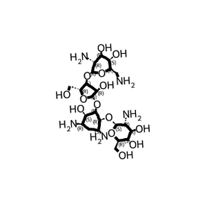 NC[C@H]1O[C@H](O[C@H]2[C@@H](O)[C@H](O[C@@H]3[C@@H](O)[C@H](N)C[C@H](N)[C@H]3O[C@H]3O[C@H](CO)[C@@H](O)[C@H](O)[C@H]3N)O[C@@H]2CO)[C@H](N)[C@@H](O)[C@@H]1O